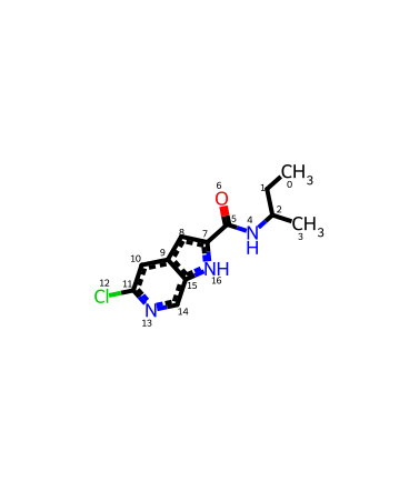 CCC(C)NC(=O)c1cc2cc(Cl)ncc2[nH]1